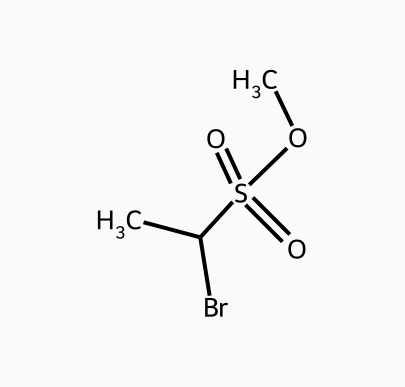 COS(=O)(=O)C(C)Br